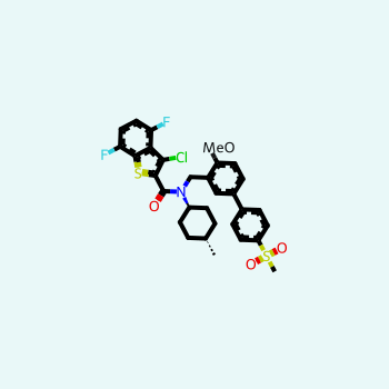 COc1ccc(-c2ccc(S(C)(=O)=O)cc2)cc1CN(C(=O)c1sc2c(F)ccc(F)c2c1Cl)[C@H]1CC[C@H](C)CC1